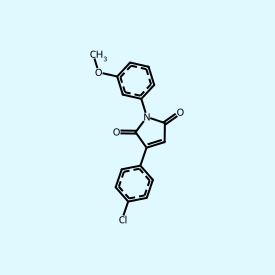 COc1cccc(N2C(=O)C=C(c3ccc(Cl)cc3)C2=O)c1